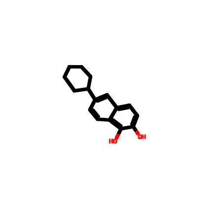 Oc1ccc2cc(C3CCCCC3)ccc2c1O